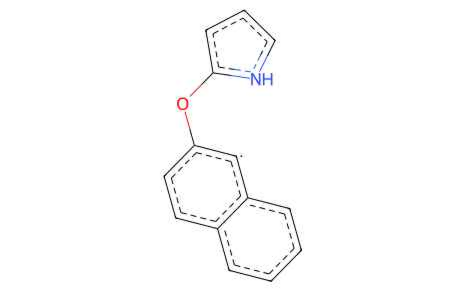 [c]1c(Oc2ccc[nH]2)ccc2ccccc12